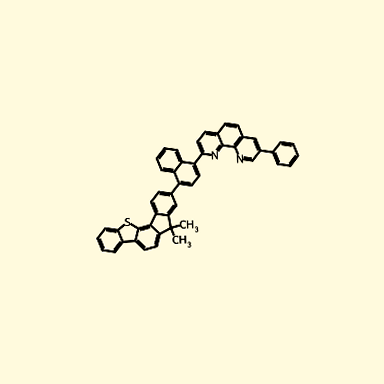 CC1(C)c2cc(-c3ccc(-c4ccc5ccc6cc(-c7ccccc7)cnc6c5n4)c4ccccc34)ccc2-c2c1ccc1c2sc2ccccc21